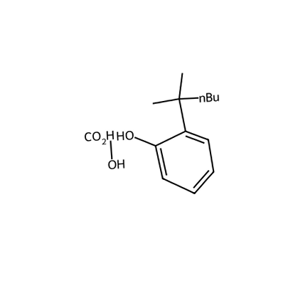 CCCCC(C)(C)c1ccccc1O.O=C(O)O